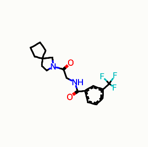 O=C(NCC(=O)N1CCC2(CCCC2)C1)c1cccc(C(F)(F)F)c1